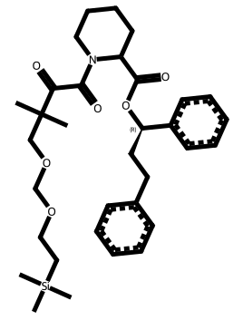 CC(C)(COCOCC[Si](C)(C)C)C(=O)C(=O)N1CCCCC1C(=O)O[C@H](CCc1ccccc1)c1ccccc1